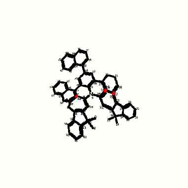 CC1(C)C2=C(CC#CC(N(c3ccc4c(c3)C(C)(C)c3ccccc3-4)c3c(C4=CC=CCC4)cc(-c4cccc5ccccc45)cc3-c3cccc4ccccc34)=C2)c2ccccc21